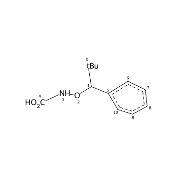 CC(C)(C)C(ONC(=O)O)c1ccccc1